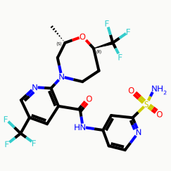 C[C@H]1CN(c2ncc(C(F)(F)F)cc2C(=O)Nc2ccnc(S(N)(=O)=O)c2)CC[C@H](C(F)(F)F)O1